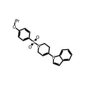 CC(C)Oc1ccc(S(=O)(=O)N2CC=C(n3ccc4ccccc43)CC2)cc1